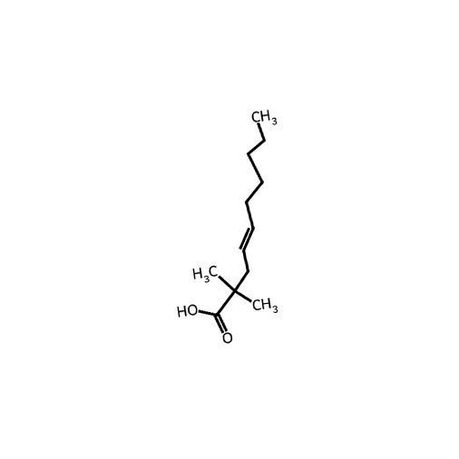 CCCCC/C=C/CC(C)(C)C(=O)O